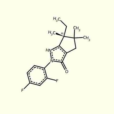 CC[C@@]1(C)c2[nH]n(-c3ccc(F)cc3F)c(=O)c2CC1(C)C